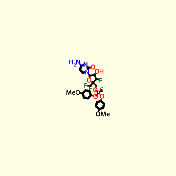 COc1ccc(OP(=S)(OC[C@@]2(C(F)F)O[C@@H](n3ccc(N)nc3=O)[C@H](O)[C@H]2F)Oc2ccc(OC)cc2)cc1